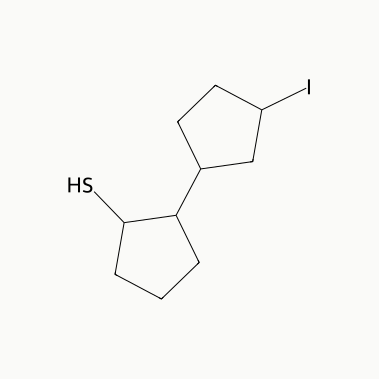 SC1CCCC1C1CCC(I)C1